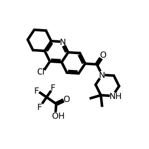 CC1(C)CN(C(=O)c2ccc3c(Cl)c4c(nc3c2)CCCC4)CCN1.O=C(O)C(F)(F)F